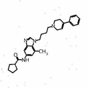 Cc1cc(NC(=O)C2CCCC2)cc2ncn(CCCCN3CC=C(c4ccccc4)CC3)c12